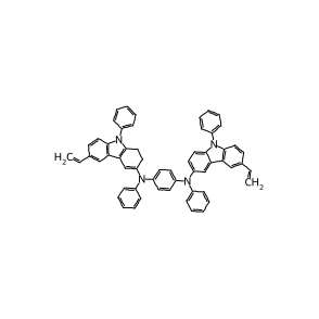 C=Cc1ccc2c(c1)c1c(n2-c2ccccc2)CCC(N(c2ccccc2)c2ccc(N(c3ccccc3)c3ccc4c(c3)c3cc(C=C)ccc3n4-c3ccccc3)cc2)=C1